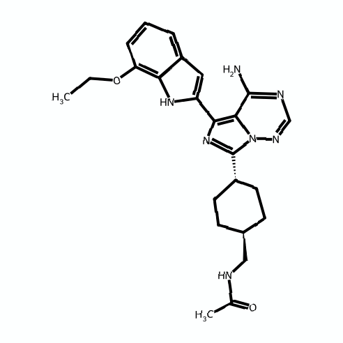 CCOc1cccc2cc(-c3nc([C@H]4CC[C@H](CNC(C)=O)CC4)n4ncnc(N)c34)[nH]c12